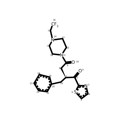 O=C(c1n[c]cs1)[C@H](CC(=O)N1CCN(CC(F)(F)F)CC1)Cc1ccccc1